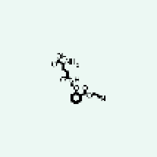 N#CCOC(=O)c1ccccc1OCNC(=O)CC[C@H](N)C(=O)O